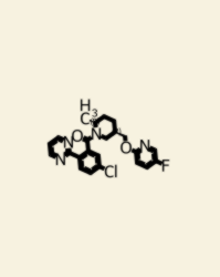 C[C@@H]1CC[C@@H](COc2ccc(F)cn2)CN1C(=O)c1cc(Cl)ccc1-c1ncccn1